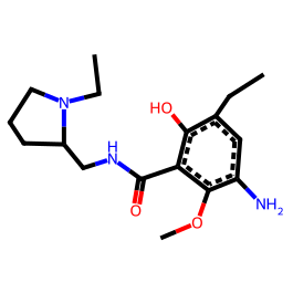 CCc1cc(N)c(OC)c(C(=O)NCC2CCCN2CC)c1O